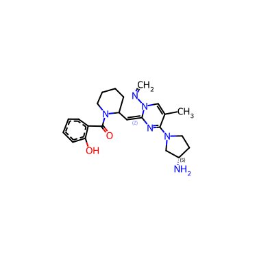 C=NN1C=C(C)C(N2CC[C@H](N)C2)=N/C1=C/C1CCCCN1C(=O)c1ccccc1O